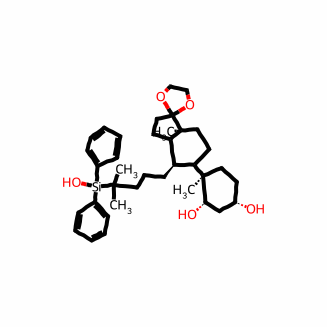 CC(C)(CCC[C@H]1C2CCC3(OCCO3)[C@@]2(C)CCC1[C@@]1(C)CC[C@H](O)C[C@@H]1O)[Si](O)(c1ccccc1)c1ccccc1